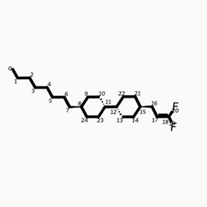 CCCCCCCC[C@H]1CC[C@H]([C@H]2CC[C@H](CC=C(F)F)CC2)CC1